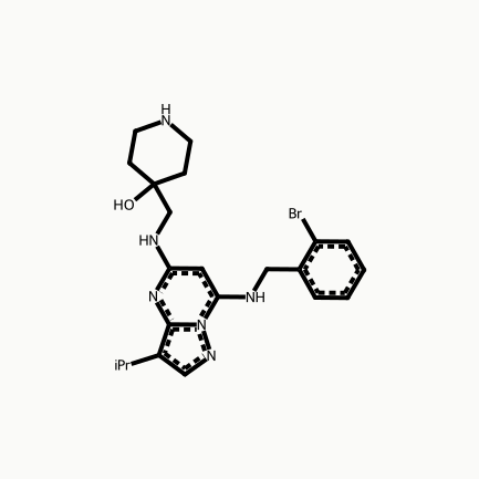 CC(C)c1cnn2c(NCc3ccccc3Br)cc(NCC3(O)CCNCC3)nc12